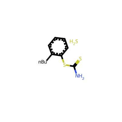 CCCCc1ccccc1SC(N)=S.S